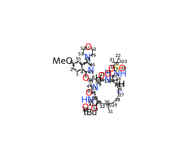 COc1ccc2c(O[C@@H]3C[C@H]4C(=O)N[C@]5(C(=O)NS(=O)(=O)C6(C)CC6)C[C@H]5/C=C\CC[C@@H](C)C[C@@H](C)[C@H](NC(=O)OC(C)(C)C)C(=O)N4C3)ncc(N3CCOCC3)c2c1